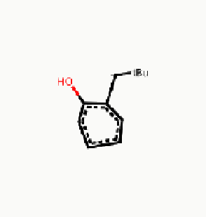 CC(C)(C)[CH]c1ccccc1O